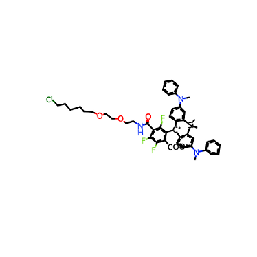 CN(c1ccccc1)c1ccc2c(c1)[Si](C)(C)c1cc(N(C)c3ccccc3)ccc1[C+]2c1c(F)c(C(=O)NCCOCCOCCCCCCCl)c(F)c(F)c1C(=O)[O-]